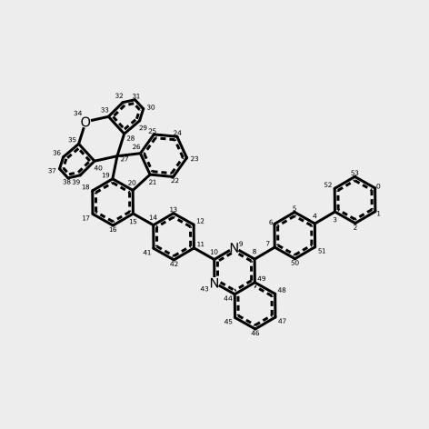 c1ccc(-c2ccc(-c3nc(-c4ccc(-c5cccc6c5-c5ccccc5C65c6ccccc6Oc6ccccc65)cc4)nc4ccccc34)cc2)cc1